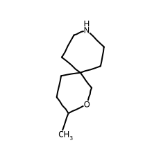 CC1CCC2(CCNCC2)CO1